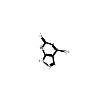 O=c1cc(O)c2cn[nH]c2[nH]1